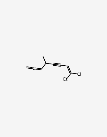 C=C=CC(C)C#C/C=C(/Cl)CC